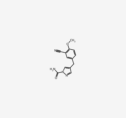 COc1ccc([CH]c2cnn(C(N)=O)c2)cc1C#N